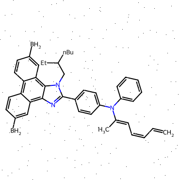 Bc1ccc2c3ccc(B)cc3c3c(nc(-c4ccc(N(/C(C)=C/C=C\C=C)c5ccccc5)cc4)n3CC(CC)CCCC)c2c1